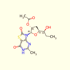 CC[C@H](O)[C@@H]1C[C@@H](OC(C)=O)[C@H](n2c(=O)sc3c(=O)[nH]c(C)nc32)O1